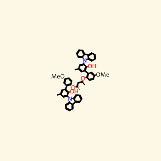 COc1ccc(O[C@@H](C)C[C@H](C)Oc2ccc(OC)cc2-c2cc(C)cc(-n3c4ccccc4c4ccccc43)c2O)c(-c2cc(C)cc(-n3c4ccccc4c4ccccc43)c2O)c1